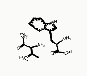 CC(O)C(N)C(=O)O.NC(Cc1c[nH]c2ccccc12)C(=O)O